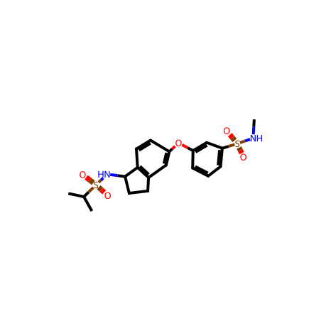 CNS(=O)(=O)c1cccc(Oc2ccc3c(c2)CCC3NS(=O)(=O)C(C)C)c1